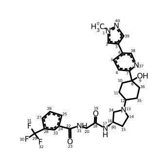 Cn1cc(-c2ccc(C3(O)CCC(N4CC[C@@H](NC(=O)CNC(=O)c5cccc(C(F)(F)F)c5)C4)CC3)nc2)cn1